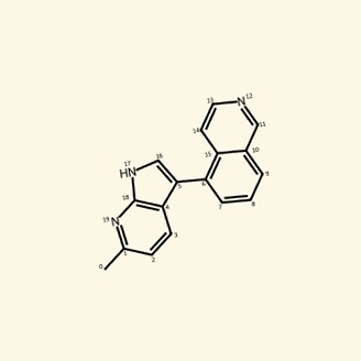 Cc1ccc2c(-c3cccc4cnccc34)c[nH]c2n1